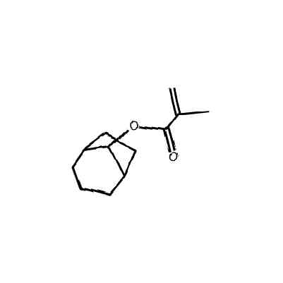 C=C(C)C(=O)OC1C2CCCC1CC2